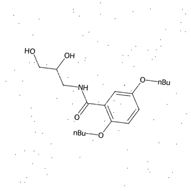 CCCCOc1ccc(OCCCC)c(C(=O)NCC(O)CO)c1